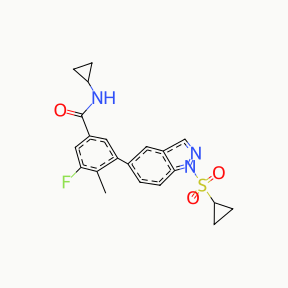 Cc1c(F)cc(C(=O)NC2CC2)cc1-c1ccc2c(cnn2S(=O)(=O)C2CC2)c1